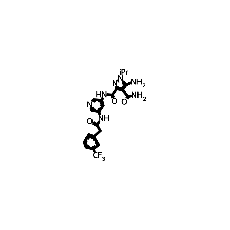 CC(C)n1nc(C(=O)Nc2cncc(NC(=O)Cc3cccc(C(F)(F)F)c3)c2)c(C(N)=O)c1N